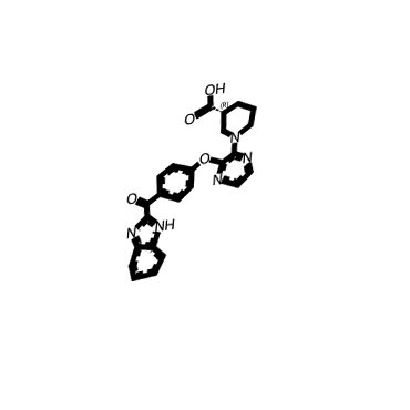 O=C(c1ccc(Oc2nccnc2N2CCC[C@@H](C(=O)O)C2)cc1)c1nc2ccccc2[nH]1